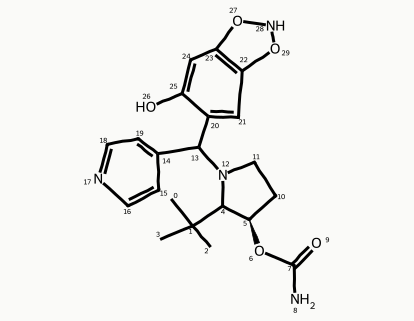 CC(C)(C)C1[C@H](OC(N)=O)CCN1C(c1ccncc1)c1cc2c(cc1O)ONO2